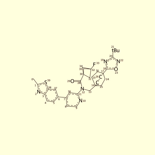 Cc1nc2ccc(-c3ccnc(N(CC45CCC(c6nc(C(C)(C)C)no6)(CC4)CC5)C(=O)C45CC(F)(C4)C5)c3)cc2s1